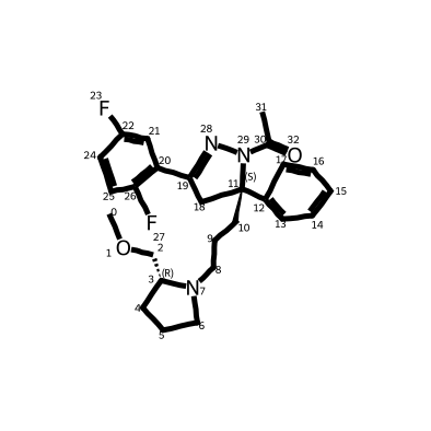 COC[C@H]1CCCN1CCC[C@@]1(c2ccccc2)CC(c2cc(F)ccc2F)=NN1C(C)=O